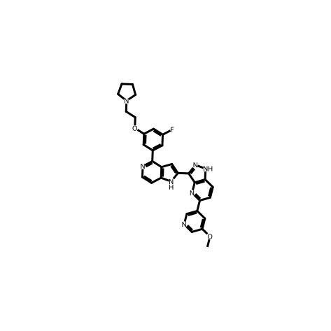 COc1cncc(-c2ccc3[nH]nc(-c4cc5c(-c6cc(F)cc(OCCN7CCCC7)c6)nccc5[nH]4)c3n2)c1